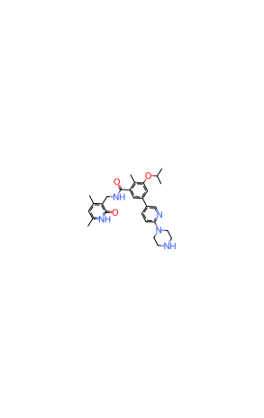 Cc1cc(C)c(CNC(=O)c2cc(-c3ccc(N4CCNCC4)nc3)cc(OC(C)C)c2C)c(=O)[nH]1